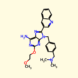 COCCOc1nc(N)c2nc(-c3cnc4ccccc4c3)n(Cc3ccc(CN(C)C)cc3)c2n1